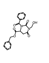 O=C(OCc1ccccc1)C1CC(=O)N(CO)C(=O)N1C(=O)c1ccccc1